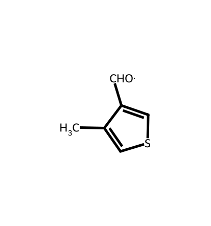 Cc1cscc1[C]=O